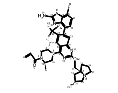 C=CC(=O)N1C[C@H](C)N(c2nc(OC[C@@]34CCCN3C[C@H](F)C4)nc3cc(-c4ccc(F)c5sc(N)nc45)c(C(F)(F)F)cc23)C[C@H]1C